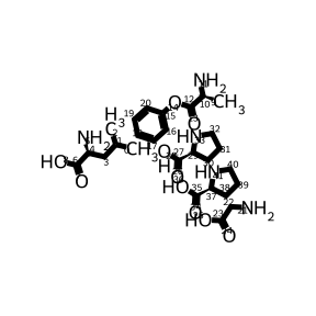 CC(C)C[C@H](N)C(=O)O.C[C@H](N)C(=O)Oc1ccccc1.NCC(=O)O.O=C(O)[C@@H]1CCCN1.O=C(O)[C@@H]1CCCN1